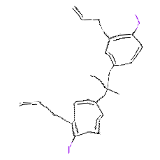 C=CCc1cc(C(C)(C)c2ccc(I)c(CC=C)c2)ccc1I